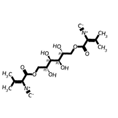 [C-]#[N+]C(C(=O)OC[C@@H](O)[C@@H](O)[C@H](O)[C@H](O)COC(=O)C([N+]#[C-])=C(C)C)=C(C)C